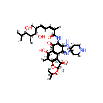 C/C(=C/C=C/[C@H](C)[C@H](O)[C@@H](C)[C@@H](O)C(C)C)C(=O)NC1=C2NC3(N=C2c2c(c(O)c(C)c4c2C(=O)[C@@](C)(OC(C)C)O4)C1=O)C1CCC3CNC1